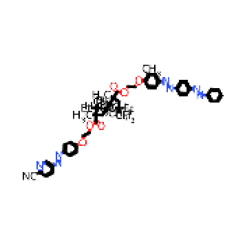 CCC(C)(C)CC(C)(C(=O)OCCOc1ccc(/N=N/c2ccc(/N=N/c3ccccc3)cc2)cc1C)C(C)(CC)C(C)(C)CC(C)(C(=O)OCCOc1ccc(/N=N/c2ccc(C#N)nc2)cc1)C(C)(C)CC